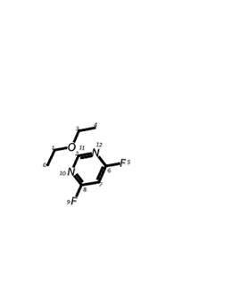 CCOCC.Fc1cc(F)ncn1